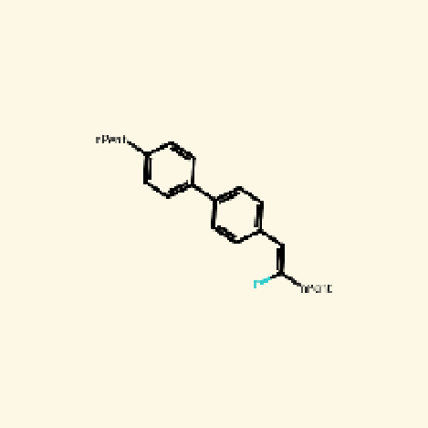 CCCCCC(F)=Cc1ccc(-c2ccc(CCCCC)cc2)cc1